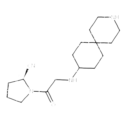 N#C[C@@H]1CCCN1C(=O)CNC1CCC2(CCNCC2)CC1